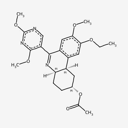 CCOc1cc2c(cc1OC)C(c1cnc(OC)nc1OC)=N[C@@H]1CC[C@@H](OC(C)=O)C[C@H]21